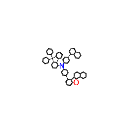 c1ccc(C2(c3ccccc3)c3ccccc3-c3c(N(c4ccc(-c5cccc6ccccc56)cc4)c4ccc(-c5cccc6oc7c8ccccc8ccc7c56)cc4)cccc32)cc1